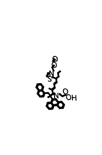 CCCC(/C=C/C=C(\C)C1=[N+](CCC(=O)O)c2c(c3ccccc3c3ccccc23)C1(C)Cc1cccc2ccccc12)C1SC=CN1CCOC=O